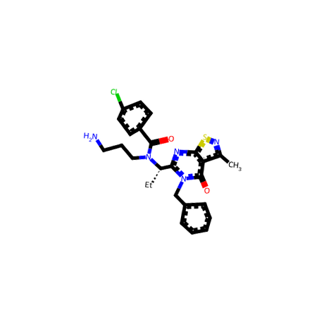 CC[C@@H](c1nc2snc(C)c2c(=O)n1Cc1ccccc1)N(CCCN)C(=O)c1ccc(Cl)cc1